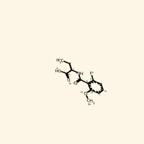 CCC(NC(=O)c1c(F)cccc1OC)C(=O)O